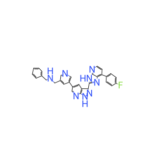 Fc1ccc(-c2ccnc3[nH]c(-c4n[nH]c5ncc(-c6cncc(CNCc7ccccc7)c6)cc45)nc23)cc1